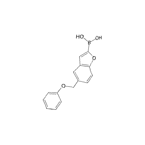 OB(O)c1cc2cc(COc3ccccc3)ccc2o1